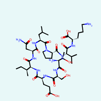 CC[C@H](C)[C@H](NC(=O)[C@H](CCC(=O)O)NC(=O)[C@H](CO)NC(=O)[C@@H](N)[C@@H](C)O)C(=O)N[C@@H](CC(N)=O)C(=O)N[C@@H](CC(C)C)C(=O)N1CCC[C@H]1C(=O)N[C@H](C(=O)N[C@@H](CCCCN)C(=O)O)C(C)C